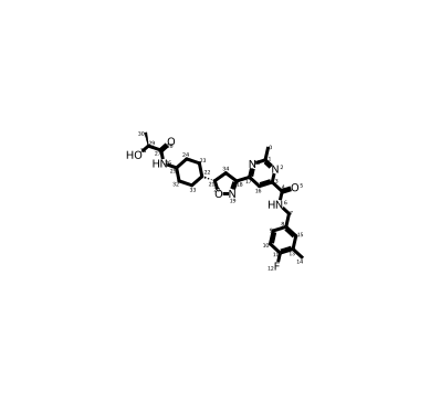 Cc1nc(C(=O)NCc2ccc(F)c(C)c2)cc(C2=NO[C@H](C3CCC(NC(=O)[C@H](C)O)CC3)C2)n1